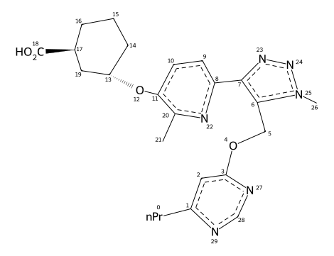 CCCc1cc(OCc2c(-c3ccc(O[C@H]4CCC[C@H](C(=O)O)C4)c(C)n3)nnn2C)ncn1